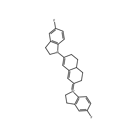 Fc1ccc2c(c1)CCN2C1=CC2=C/C(=[N+]3\CCc4cc(F)ccc43)CCC2CC1